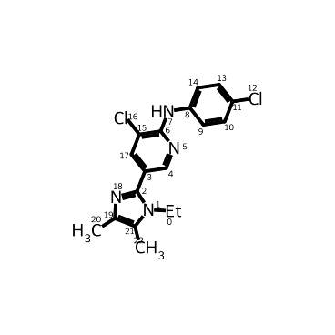 CCn1c(-c2cnc(Nc3ccc(Cl)cc3)c(Cl)c2)nc(C)c1C